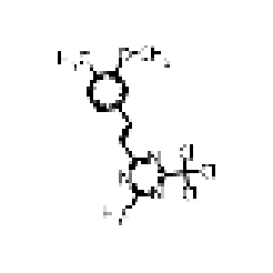 COc1cc(/C=C/c2nc(C)nc(C(Cl)(Cl)Cl)n2)ccc1C